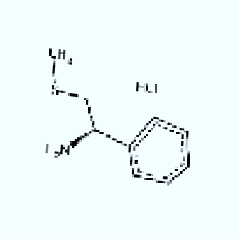 CSC[C@H](N)c1ccccc1.Cl